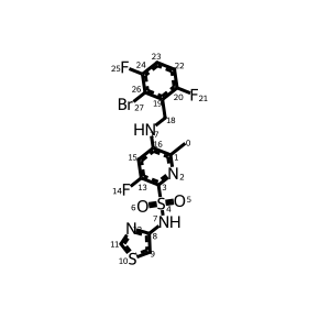 Cc1nc(S(=O)(=O)Nc2cscn2)c(F)cc1NCc1c(F)ccc(F)c1Br